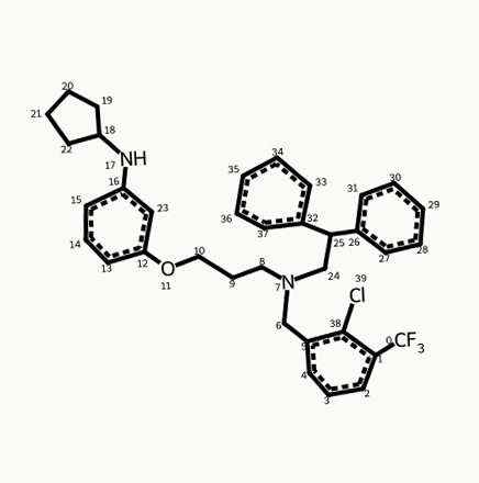 FC(F)(F)c1cccc(CN(CCCOc2cccc(NC3CCCC3)c2)CC(c2ccccc2)c2ccccc2)c1Cl